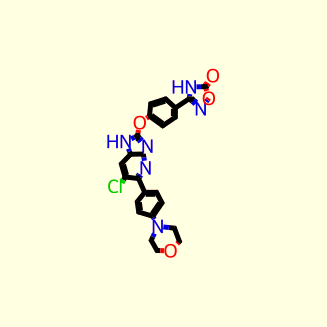 O=c1[nH]c(-c2ccc(OC3=NC4N=C(c5ccc(N6CCOCC6)cc5)C(Cl)=CC4N3)cc2)no1